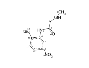 CBCC(=O)Nc1cc([N+](=O)[O-])ccc1C(C)(C)C